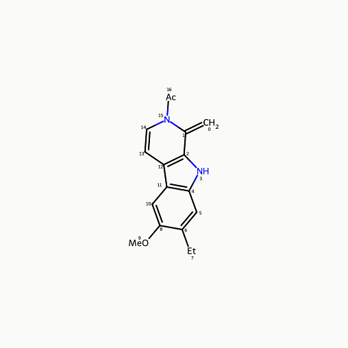 C=C1c2[nH]c3cc(CC)c(OC)cc3c2C=CN1C(C)=O